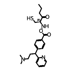 CCCC(=O)[C@H](CS)NOC(=O)c1ccc(C(CCN(C)C)c2ccccn2)cc1